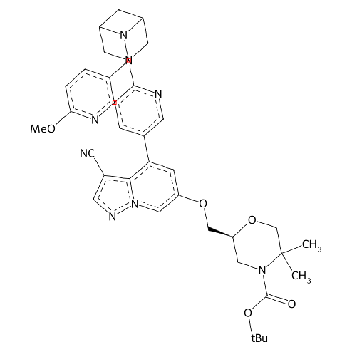 COc1ccc(CN2C3CC2CN(c2ccc(-c4cc(OC[C@@H]5CN(C(=O)OC(C)(C)C)C(C)(C)CO5)cn5ncc(C#N)c45)cn2)C3)cn1